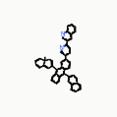 CC12C=CC=CC1=CC(c1c3ccccc3c(-c3ccc4ccccc4c3)c3ccc(-c4ccc(-c5cnc6ccccc6c5)nc4)cc13)=CC2